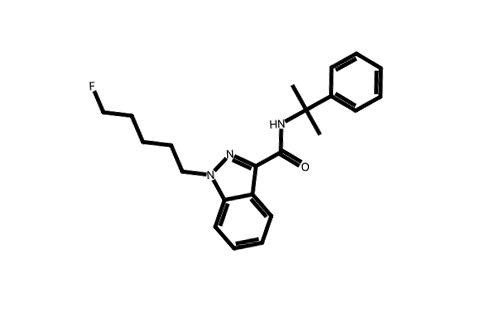 CC(C)(NC(=O)c1nn(CCCCCF)c2ccccc12)c1ccccc1